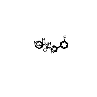 O=C(N[C@H]1CN2CCC1CC2)n1cc(-c2cccc(F)c2)cn1